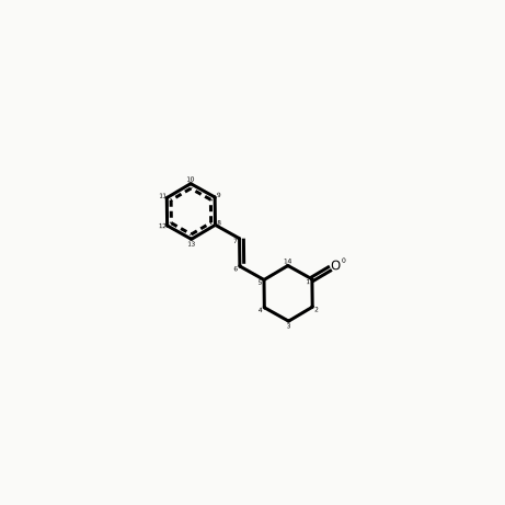 O=C1CCCC(C=Cc2ccccc2)C1